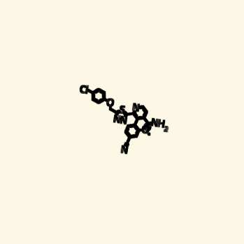 COc1cc(C#N)ccc1-c1c(C(N)=O)ccnc1-c1nnc(COc2ccc(Cl)cc2)s1